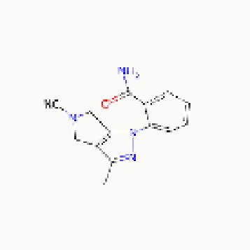 Cc1nn(-c2ccccc2C(N)=O)c2c1CN(C#N)C2